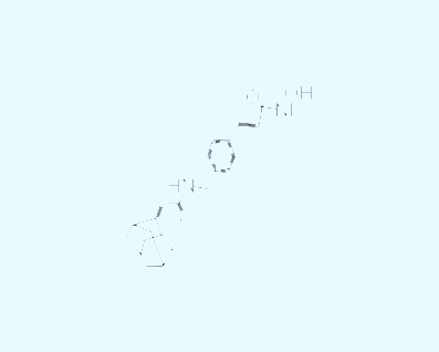 O=C(C=Cc1ccc(CNC(=O)C=C2C3CC4CC(C3)CC2C4)cc1)NO